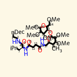 CCCCCCCCCCCCNC(=O)[C@H](CC(C)C)NC(=O)CCC(=O)NCC1O[C@H](O[C@@H]2C(COC)O[C@H](OC)C(OC)[C@H]2OC)C(OC)[C@@H](OC)[C@@H]1C